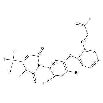 CC(=O)COc1ccccc1Oc1cc(-n2c(=O)cc(C(F)(F)F)n(C)c2=O)c(F)cc1Br